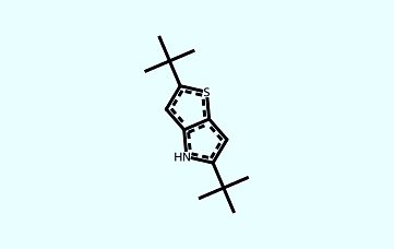 CC(C)(C)c1cc2sc(C(C)(C)C)cc2[nH]1